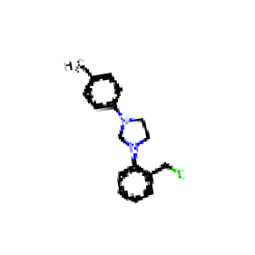 Cc1ccc(N2CCN(c3ccccc3CCl)C2)cc1